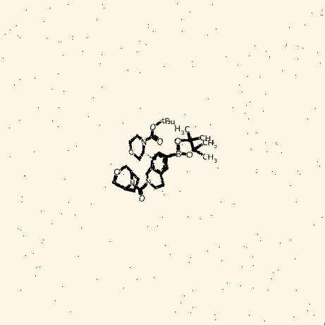 CC(C)(C)OC(=O)N1CCOC[C@H]1c1cc(B2OC(C)(C)C(C)(C)O2)cc2c1CN(C(=O)N1C3CCC1COC3)CC2